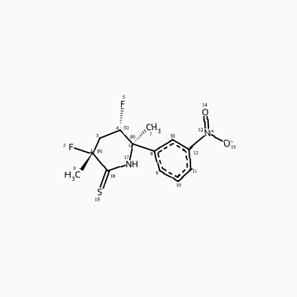 C[C@@]1(F)C[C@H](F)[C@@](C)(c2cccc([N+](=O)[O-])c2)NC1=S